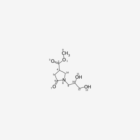 COC(=O)C1CC(=O)N(CC(O)CO)C1